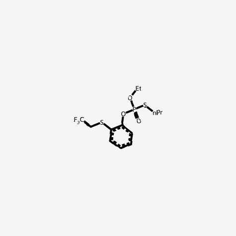 CCCSP(=O)(OCC)Oc1ccccc1SCC(F)(F)F